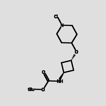 CC(C)(C)OC(=O)N[C@H]1C[C@H](OC2CCN(Cl)CC2)C1